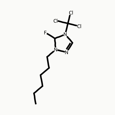 CCCCCCN1N=CN(C(Cl)(Cl)Cl)C1F